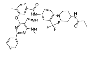 CCC(=O)NC1CCN(c2ccc(NC(=O)c3ccc(C)c(Oc4nc(-c5ccncc5)nc(NC)c4C=N)c3)cc2C(F)(F)F)CC1